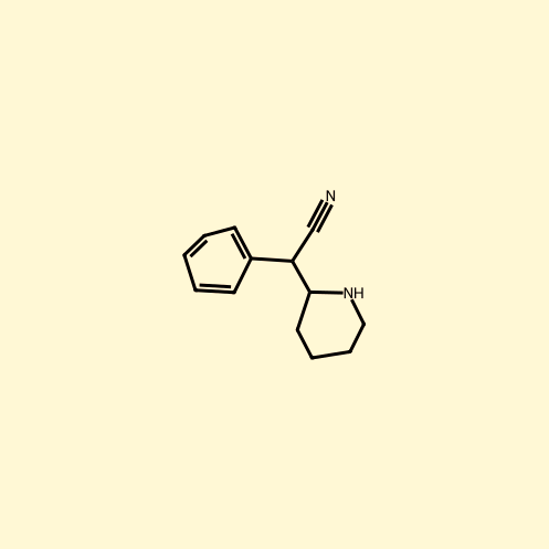 N#CC(c1ccccc1)C1CCCCN1